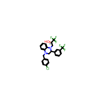 O[C@H](CN1c2ccccc2N(Cc2ccc(Cl)cc2)CC1c1cccc(C(F)(F)F)c1)C(F)(F)F